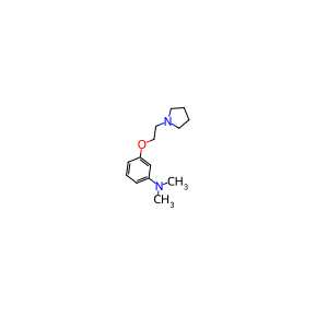 CN(C)c1cccc(OCCN2CCCC2)c1